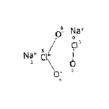 [Na+].[Na+].[O-]Cl.[O-][Cl+][O-]